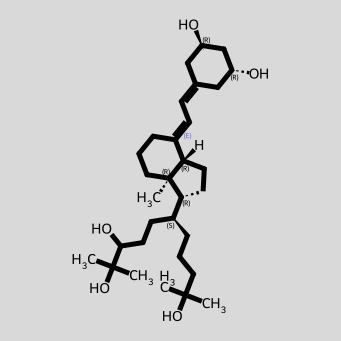 CC(C)(O)CCC[C@@H](CCC(O)C(C)(C)O)[C@H]1CC[C@H]2/C(=C/C=C3C[C@@H](O)C[C@H](O)C3)CCC[C@]12C